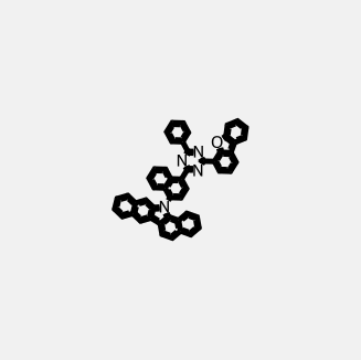 c1ccc(-c2nc(-c3ccc(-n4c5cc6ccccc6cc5c5ccc6ccccc6c54)c4ccccc34)nc(-c3cccc4c3oc3ccccc34)n2)cc1